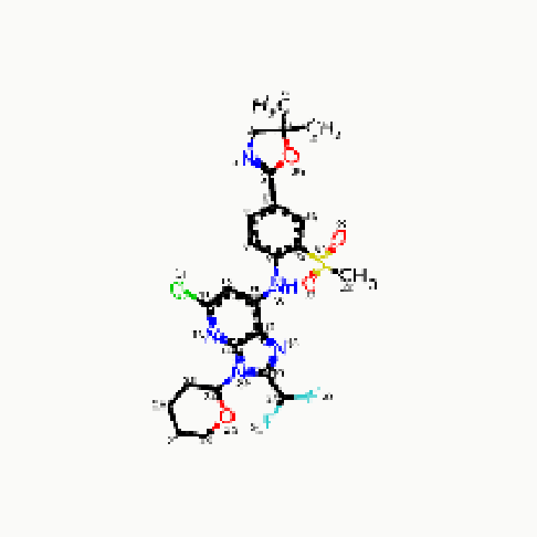 CC1(C)CN=C(c2ccc(Nc3cc(Cl)nc4c3nc(C(F)F)n4C3CCCCO3)c(S(C)(=O)=O)c2)O1